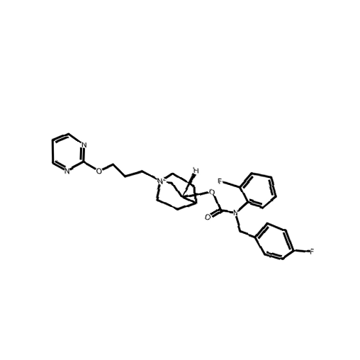 O=C(O[C@H]1C[N+]2(CCCOc3ncccn3)CCC1CC2)N(Cc1ccc(F)cc1)c1ccccc1F